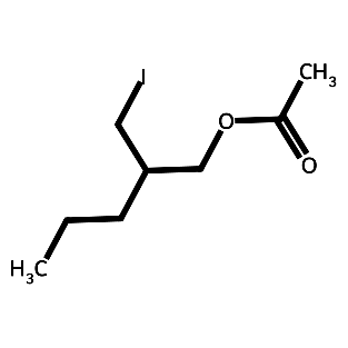 CCCC(CI)COC(C)=O